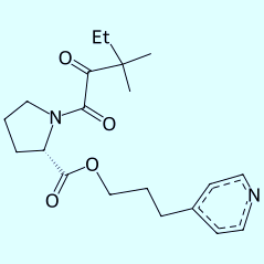 CCC(C)(C)C(=O)C(=O)N1CCC[C@H]1C(=O)OCCCc1ccncc1